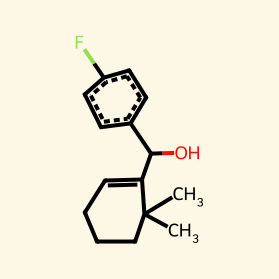 CC1(C)CCCC=C1C(O)c1ccc(F)cc1